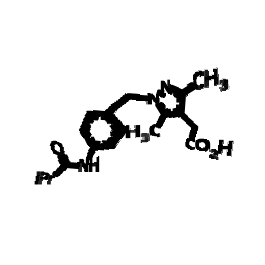 Cc1nn(Cc2ccc(NC(=O)C(C)C)cc2)c(C)c1CC(=O)O